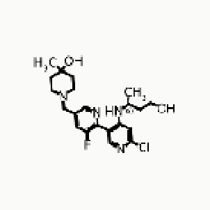 C[C@@H](CCO)Nc1cc(Cl)ncc1-c1ncc(CN2CCC(C)(O)CC2)cc1F